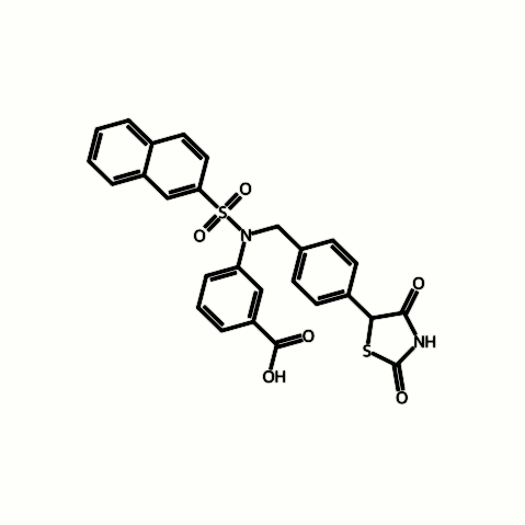 O=C1NC(=O)C(c2ccc(CN(c3cccc(C(=O)O)c3)S(=O)(=O)c3ccc4ccccc4c3)cc2)S1